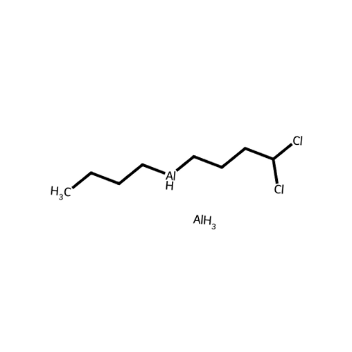 CCC[CH2][AlH][CH2]CCC(Cl)Cl.[AlH3]